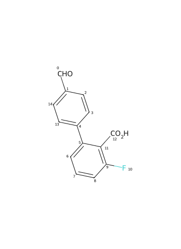 O=Cc1ccc(-c2cccc(F)c2C(=O)O)cc1